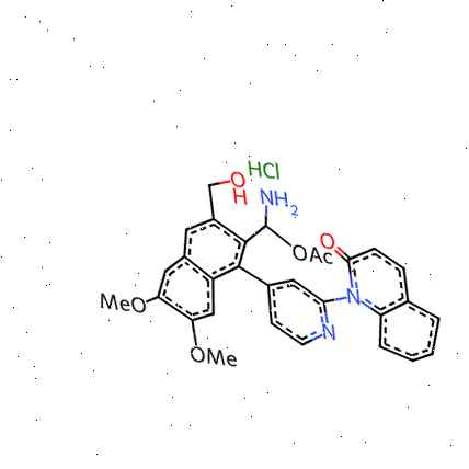 COc1cc2cc(CO)c(C(N)OC(C)=O)c(-c3ccnc(-n4c(=O)ccc5ccccc54)c3)c2cc1OC.Cl